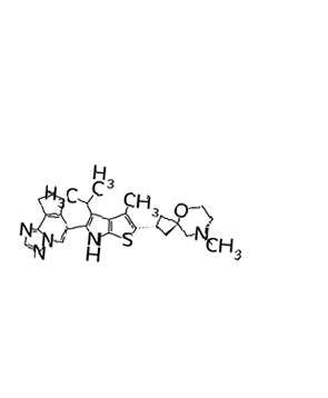 Cc1c2c(C(C)C)c(-c3cn4ncnc4c4c3CCC4)[nH]c2sc1[C@H]1C[C@@]2(CN(C)CCO2)C1